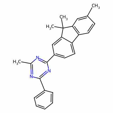 Cc1ccc2c(c1)C(C)(C)c1cc(-c3nc(C)nc(-c4ccccc4)n3)ccc1-2